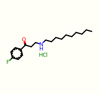 CCCCCCCCCCNCCC(=O)c1ccc(F)cc1.Cl